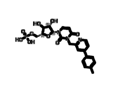 Cc1ccc(-c2ccnc(Cn3c(=O)ccn([C@@H]4O[C@H](COP(=O)(O)O)C(O)[C@@H]4O)c3=O)c2)cc1